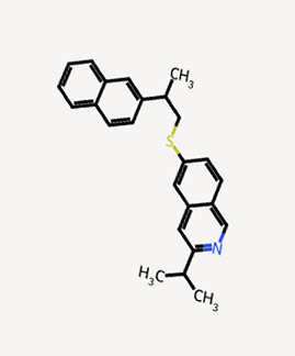 CC(C)c1cc2cc(SCC(C)c3ccc4ccccc4c3)ccc2cn1